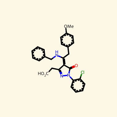 COc1ccc(CC(NCc2ccccc2)=C2C(=O)N(c3ccccc3Cl)N=C2CC(=O)O)cc1